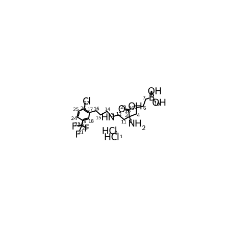 Cl.Cl.NC(CCCCB(O)O)(CCNCCCc1cc(C(F)(F)F)ccc1Cl)C(=O)O